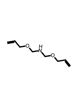 C=CCOCNCOCC=C